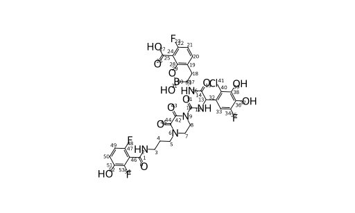 O=C(NCCCN1CCN(C(=O)NC(C(=O)N[C@H]2Cc3ccc(F)c(C(=O)O)c3OB2O)c2cc(F)c(O)c(O)c2Cl)C(=O)C1=O)c1c(F)ccc(O)c1F